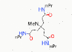 CCCNC(=O)CCC(CCC(=O)NCCC)(CCC(=O)NCCC)NC